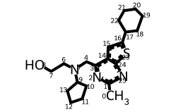 Cc1nc(CN(CCO)C2CCCC2)c2cc(C3CCCCC3)sc2n1